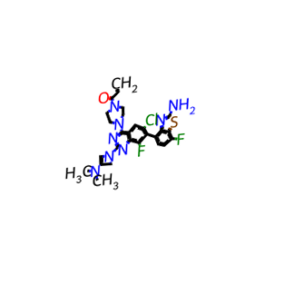 C=CC(=O)N1CCN(c2nc(N3C=C(N(C)C)C3)nc3c(F)c(-c4ccc(F)c5sc(N)nc45)c(Cl)cc23)CC1